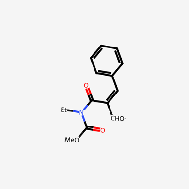 CCN(C(=O)OC)C(=O)C([C]=O)=Cc1ccccc1